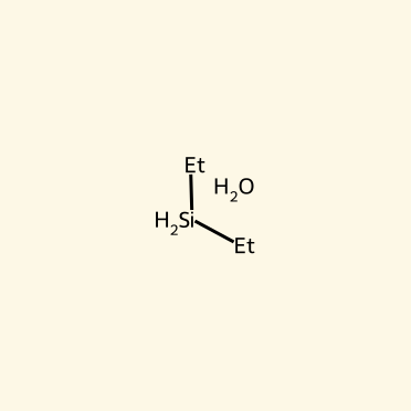 CC[SiH2]CC.O